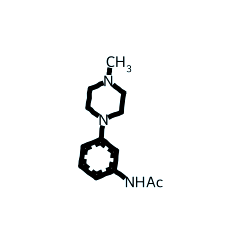 CC(=O)Nc1cccc(N2CCN(C)CC2)c1